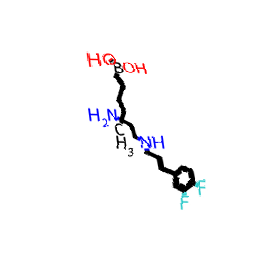 CC(N)(CCCCB(O)O)CCNCCCc1ccc(F)c(F)c1